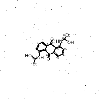 CCC(O)Nc1cccc2c1C(=O)c1cccc(NC(O)CC)c1C2=O